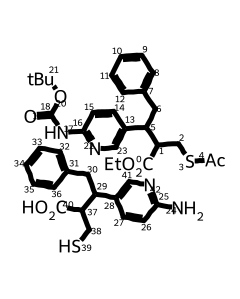 CCOC(=O)C(CSC(C)=O)C(Cc1ccccc1)c1ccc(NC(=O)OC(C)(C)C)nc1.Nc1ccc(C(Cc2ccccc2)C(CS)C(=O)O)cn1